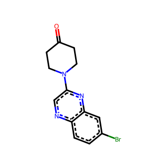 O=C1CCN(c2cnc3ccc(Br)cc3n2)CC1